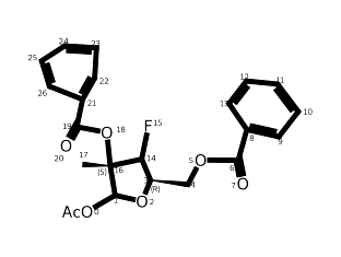 CC(=O)OC1O[C@H](COC(=O)c2ccccc2)C(F)[C@@]1(C)OC(=O)c1ccccc1